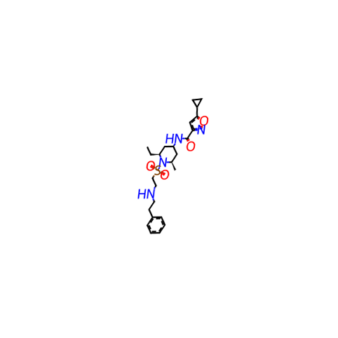 CC[C@H]1C[C@@H](NC(=O)c2cc(C3CC3)on2)C[C@@H](C)N1S(=O)(=O)CCNCCc1ccccc1